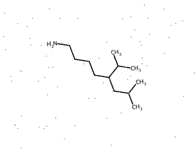 CC(C)[CH]C(CCCCN)C(C)C